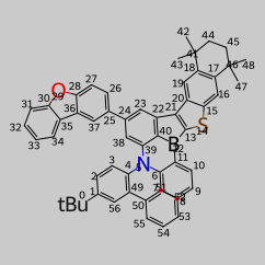 CC(C)(C)c1ccc(N2c3ccccc3B3c4sc5cc6c(cc5c4-c4cc(-c5ccc7oc8ccccc8c7c5)cc2c43)C(C)(C)CCC6(C)C)c(-c2ccccc2)c1